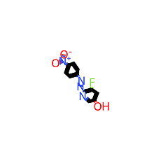 O=[N+]([O-])c1ccc(/N=N/c2ncc(O)cc2F)cc1